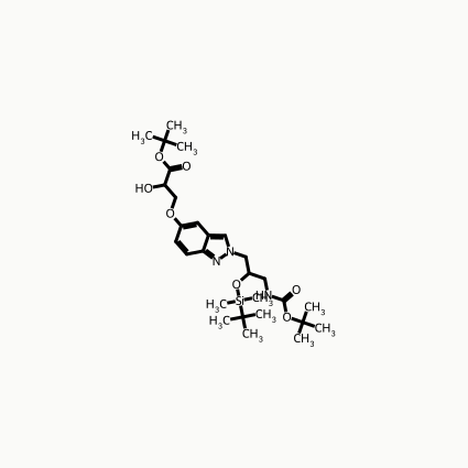 CC(C)(C)OC(=O)NCC(Cn1cc2cc(OCC(O)C(=O)OC(C)(C)C)ccc2n1)O[Si](C)(C)C(C)(C)C